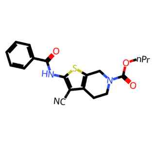 CCCOC(=O)N1CCc2c(sc(NC(=O)c3ccccc3)c2C#N)C1